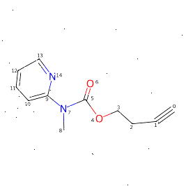 C#CCCOC(=O)N(C)c1ccccn1